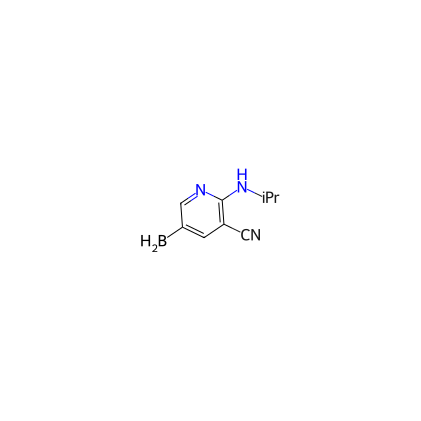 Bc1cnc(NC(C)C)c(C#N)c1